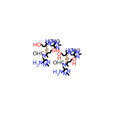 C/C(=C(\CCO)SS/C(CCO)=C(/C)N(C=O)Cc1cnc(C)nc1N)N(C=O)Cc1cnc(C)nc1N.C/C(=C(\CCO)SS/C(CCO)=C(/C)N(C=O)Cc1cnc(C)nc1N)N(C=O)Cc1cnc(C)nc1N